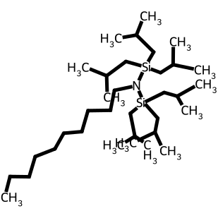 CCCCCCCCCCN([Si](CC(C)C)(CC(C)C)CC(C)C)[Si](CC(C)C)(CC(C)C)CC(C)C